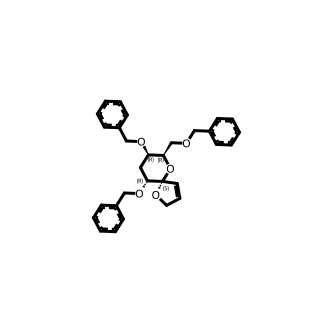 C1=C[C@]2(OC1)O[C@H](COCc1ccccc1)[C@H](OCc1ccccc1)C[C@H]2OCc1ccccc1